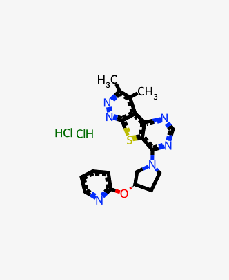 Cc1nnc2sc3c(N4CC[C@H](Oc5ccccn5)C4)ncnc3c2c1C.Cl.Cl